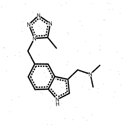 Cc1nnnn1Cc1ccc2[nH]cc(CN(C)C)c2c1